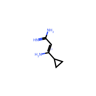 N=C(N)/C=C(\N)C1CC1